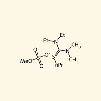 CCC/[S+]=C(\N(C)C)N(CC)CC.COS(=O)(=O)[O-]